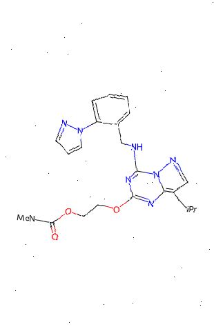 CNC(=O)OCCOc1nc(NCc2ccccc2-n2cccn2)n2ncc(C(C)C)c2n1